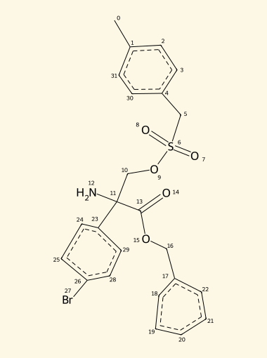 Cc1ccc(CS(=O)(=O)OCC(N)(C(=O)OCc2ccccc2)c2ccc(Br)cc2)cc1